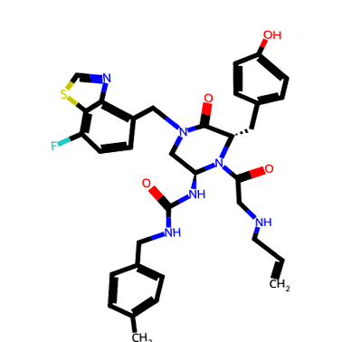 C=CCNCC(=O)N1[C@@H](NC(=O)NCc2ccc(C)cc2)CN(Cc2ccc(F)c3scnc23)C(=O)[C@@H]1Cc1ccc(O)cc1